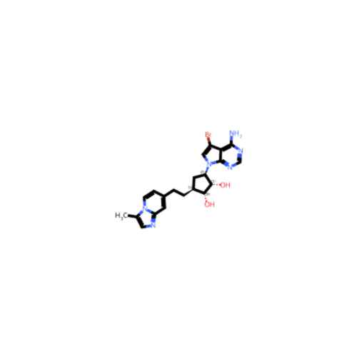 Cc1cnc2cc(CC[C@H]3C[C@@H](n4cc(Br)c5c(N)ncnc54)[C@H](O)[C@@H]3O)ccn12